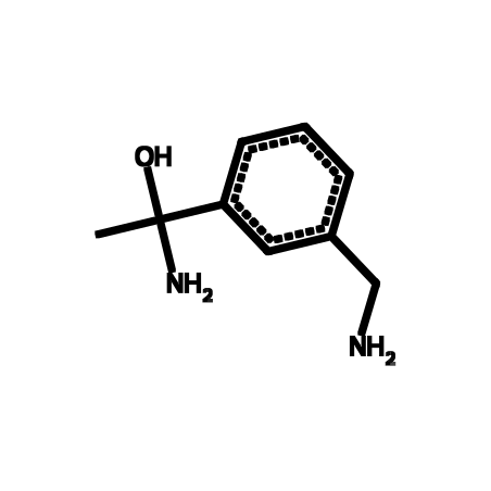 CC(N)(O)c1cccc(CN)c1